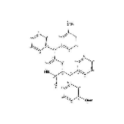 COc1cccc(C(c2ccccc2)c2c[nH]c(=O)c(C(c3ccccc3)c3cccc(OC)c3)c2)c1